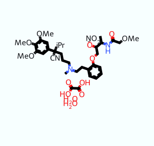 COCC(=O)NC(C)C(COc1ccccc1CCN(C)CCCC(C#N)(c1cc(OC)c(OC)c(OC)c1)C(C)C)O[N+](=O)[O-].O.O.O=C(O)C(=O)O